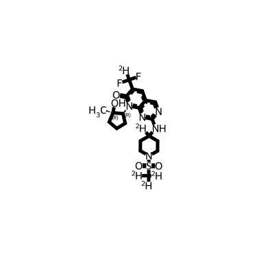 [2H]C1(Nc2ncc3cc(C([2H])(F)F)c(=O)n([C@@H]4CCC[C@@]4(C)O)c3n2)CCN(S(=O)(=O)C([2H])([2H])[2H])CC1